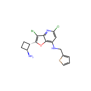 N[C@H]1CC[C@@H]1c1oc2c(NCc3cccs3)cc(Cl)nc2c1Br